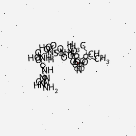 C=c1c(CCCC)cc2c(c1CCCC)Oc1c(cc3c4c1CCCN4CCC3)C=2c1ccc(S(=O)(=O)NCCN2C(=O)CC(SCC(NC(=O)CCC(NC(=O)c3ccc(NCc4cnc5nc(N)[nH]c(=O)c5n4)cc3)C(=O)O)C(=O)O)C2=O)cc1S(=O)(=O)O